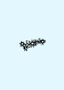 CCC1([C@H](O)C[C@@H]2c3ccccc3-c3cncn32)CC2CCC(Nc3nc4ccccc4s3)C(C2)C1